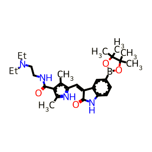 CCN(CC)CCNC(=O)c1c(C)[nH]c(C=C2C(=O)Nc3ccc(B4OC(C)(C)C(C)(C)O4)cc32)c1C